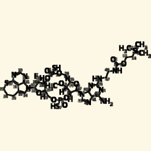 CO[C@H]1[C@H]2OP(=O)(S)OC[C@H]3O[C@@H](n4cc5c6c(ncnc64)SCCC5)[C@H](F)[C@@H]3OP(=O)(S)OC[C@H]1O[C@H]2n1cnc2c(N)nc(NCCNC(=O)OCC[Si](C)(C)C)nc21